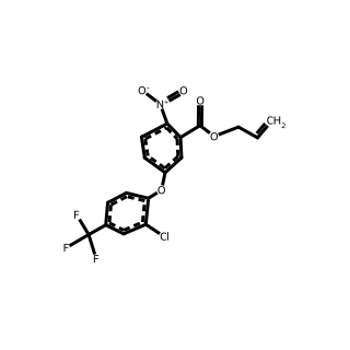 C=CCOC(=O)c1cc(Oc2ccc(C(F)(F)F)cc2Cl)ccc1[N+](=O)[O-]